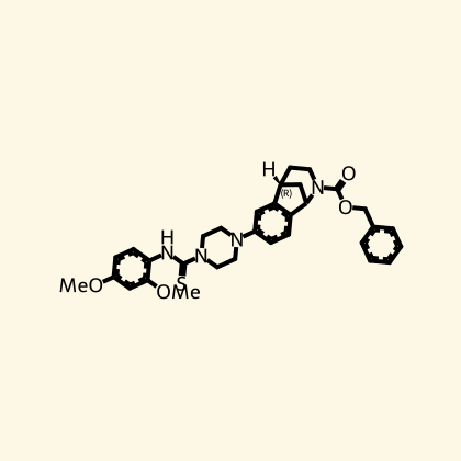 COc1ccc(NC(=S)N2CCN(c3ccc4c(c3)[C@@H]3CCN(C(=O)OCc5ccccc5)C4C3)CC2)c(OC)c1